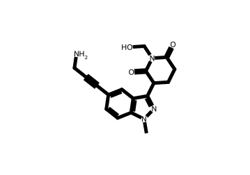 Cn1nc(C2CCC(=O)N(CO)C2=O)c2cc(C#CCN)ccc21